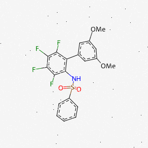 COc1cc(OC)cc(-c2c(F)c(F)c(F)c(F)c2NS(=O)(=O)c2ccccc2)c1